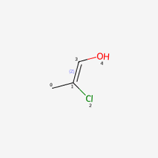 C/C(Cl)=C/O